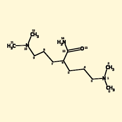 CN(C)CCCC(CCCN(C)C)C(N)=O